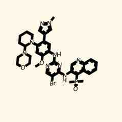 COc1cc(N2CCCCC2N2CCOCC2)c(-c2cnn(C)c2)cc1Nc1ncc(Br)c(Nc2cnc3ccccc3c2P(C)(C)=O)n1